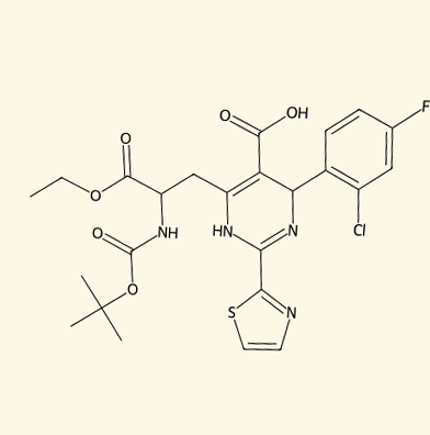 CCOC(=O)C(CC1=C(C(=O)O)C(c2ccc(F)cc2Cl)N=C(c2nccs2)N1)NC(=O)OC(C)(C)C